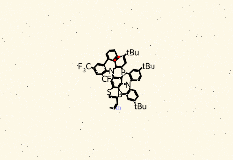 C/C=C\C1=CSc2cc3c4c5c2B1c1cc(C(C)(C)C)ccc1N5c1ccc(C(C)(C)C)cc1B4c1cc(C(C)(C)C)ccc1N3c1c(-c2ccccc2)cc(C(F)(F)F)cc1C(F)(F)F